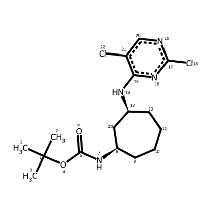 CC(C)(C)OC(=O)N[C@@H]1CCCC[C@H](Nc2nc(Cl)ncc2Cl)C1